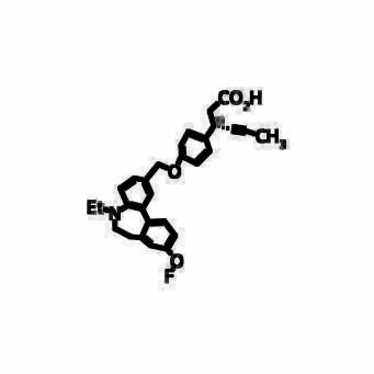 CC#C[C@@H](CC(=O)O)c1ccc(OCc2ccc3c(c2)-c2ccc(OF)cc2CCN3CC)cc1